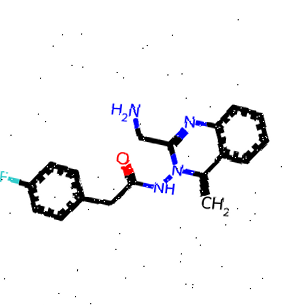 C=C1c2ccccc2N=C(CN)N1NC(=O)Cc1ccc(F)cc1